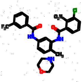 C1COCCN1.Cc1ccc(NC(=O)c2cccc(C(F)(F)F)c2)cc1NC(=O)c1cccc(Cl)c1[N+](=O)[O-]